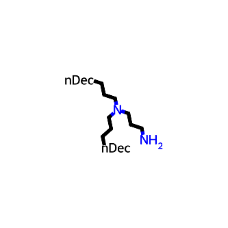 CCCCCCCCCCCCCN(CCCN)CCCCCCCCCCCCC